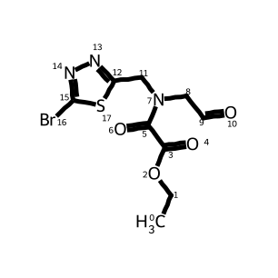 CCOC(=O)C(=O)N(CC=O)Cc1nnc(Br)s1